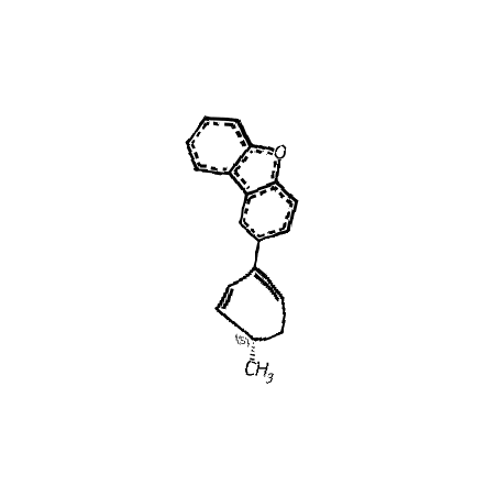 C[C@@H]1C=CC(c2ccc3oc4ccccc4c3c2)=CC1